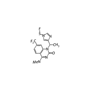 CNc1nc(=O)n(C(C)c2cn(SF)cn2)c2cc(C(F)(F)F)ccc12